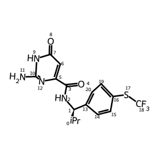 CC(C)[C@@H](NC(=O)c1cc(=O)[nH]c(N)n1)c1ccc(SC(F)(F)F)cc1